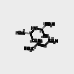 CCCCCCCC[C@H](N[C@@H](C)C(=O)O)C(=O)OCC.O=C(O)C=CC(=O)O